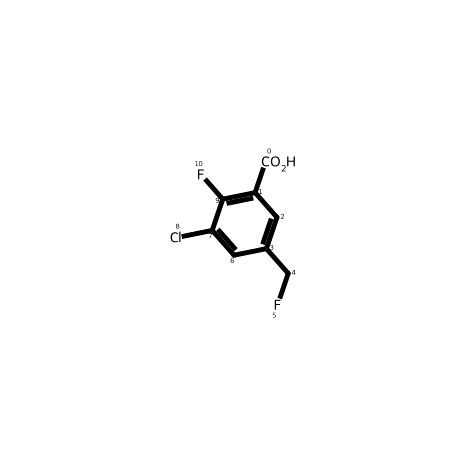 O=C(O)c1cc(CF)cc(Cl)c1F